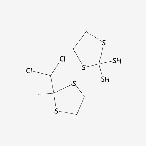 CC1(C(Cl)Cl)SCCS1.SC1(S)SCCS1